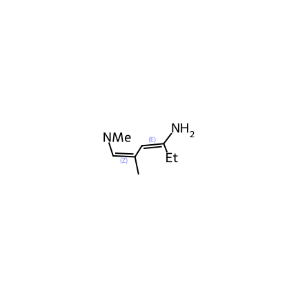 CC/C(N)=C\C(C)=C/NC